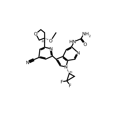 CO[C@@]1(c2cc(C#N)cc(-c3cn([C@@H]4CC4(F)F)c4cnc(NC(N)=O)cc34)n2)CCOC1